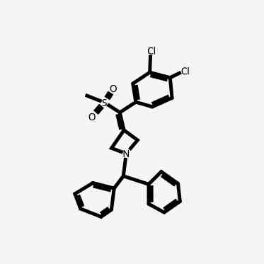 CS(=O)(=O)C(=C1CN(C(c2ccccc2)c2ccccc2)C1)c1ccc(Cl)c(Cl)c1